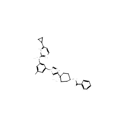 Cc1cc(Nc2nccc(C3CC3)n2)cc(-n2cnc([C@]3(O)CC[C@@H](OC(=O)c4ccccc4)CC3)c2)c1